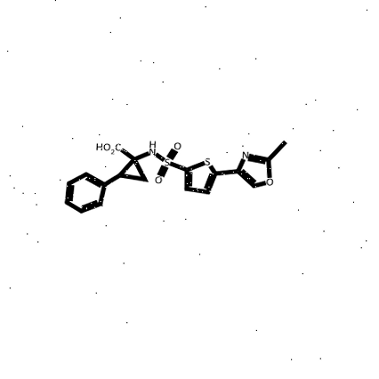 Cc1nc(-c2ccc(S(=O)(=O)NC3(C(=O)O)CC3c3ccccc3)s2)co1